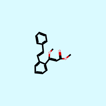 COC(=O)/C=C(\OC)c1ccccc1/C=C/c1ccccc1